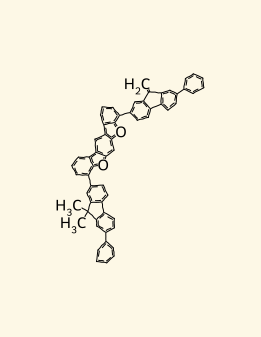 C=C1c2cc(-c3ccccc3)ccc2-c2ccc(-c3cccc4c3oc3cc5oc6c(-c7ccc8c(c7)C(C)(C)c7cc(-c9ccccc9)ccc7-8)cccc6c5cc34)cc21